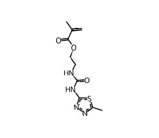 C=C(C)C(=O)OCCNC(=O)Nc1nnc(C)s1